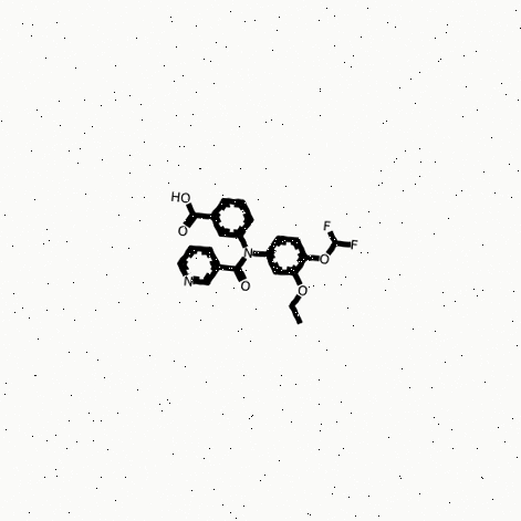 CCOc1cc(N(C(=O)c2cccnc2)c2cccc(C(=O)O)c2)ccc1OC(F)F